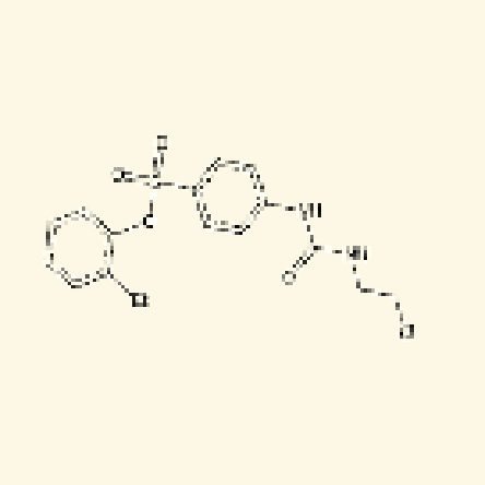 CCc1ccccc1OS(=O)(=O)c1ccc(NC(=O)NCCCl)cc1